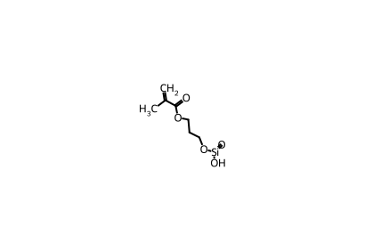 C=C(C)C(=O)OCCCO[Si](=O)O